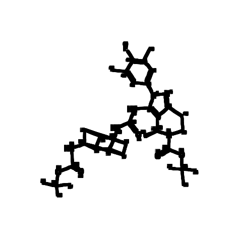 Cc1cc(-n2nc3c(c2NC(=O)NC24C5C6C2C2C4C5C62NC(=O)OC(C)(C)C)[C@H](C)N(C(=O)OC(C)(C)C)CC3)cc(C)c1F